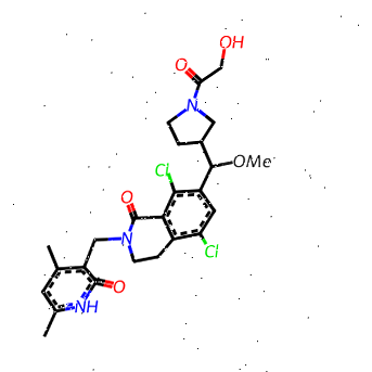 COC(c1cc(Cl)c2c(c1Cl)C(=O)N(Cc1c(C)cc(C)[nH]c1=O)CC2)C1CCN(C(=O)CO)C1